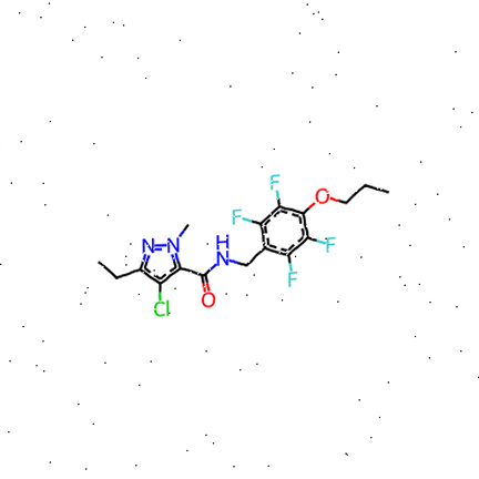 CCCOc1c(F)c(F)c(CNC(=O)c2c(Cl)c(CC)nn2C)c(F)c1F